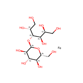 OC[C@@H](O)[C@@H](O[C@H]1O[C@H](CO)[C@@H](O)[C@H](O)[C@H]1O)[C@H](O)[C@@H](O)CO.[Fe]